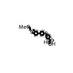 COCCN1Cc2ccc(-c3ccc(SN4CC=C(C(=O)NO)CC4)cc3)cc2C1